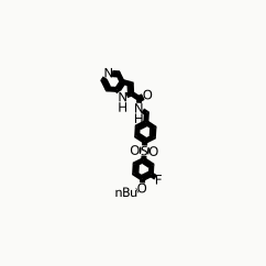 CCCCOc1ccc(S(=O)(=O)c2ccc(CNC(=O)c3cc4cnccc4[nH]3)cc2)cc1F